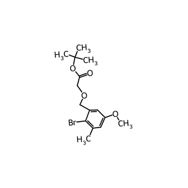 COc1cc(C)c(Br)c(COCC(=O)OC(C)(C)C)c1